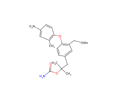 COCc1cc(CC(C)(C)OC(N)=O)ccc1Oc1ccc([N+](=O)[O-])cc1C